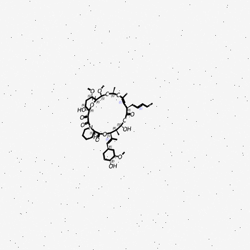 CC/C=C/C[C@@H]1/C=C(\C)C[C@H](C)C[C@H](OC)[C@H]2O[C@@](O)(C(=O)C(=O)N3CCCC[C@H]3C(=O)O[C@H](/C(C)=C/[C@@H]3CC[C@@H](O)[C@H](OC)C3)[C@H](C)[C@@H](O)CC1=O)[C@H](C)C[C@@H]2OC